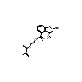 C=C(C)C(=O)OCCOC(=O)c1cccc(CCO)c1C(=O)O